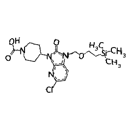 C[Si](C)(C)CCOCn1c(=O)n(C2CCN(C(=O)O)CC2)c2nc(Cl)ccc21